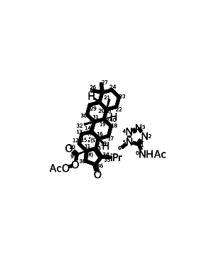 CC(=O)Nc1nnnn1C.CC(=O)OOC(=O)[C@@]12CC[C@]3(C)[C@H](CC[C@@H]4[C@@]5(C)CCCC(C)(C)[C@@H]5CC[C@]43C)C1=C(C(C)C)C(=O)C2